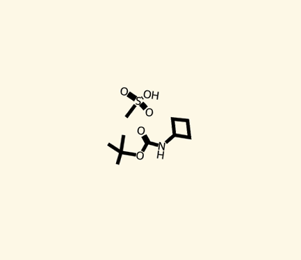 CC(C)(C)OC(=O)NC1CCC1.CS(=O)(=O)O